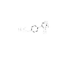 CCc1ccc(-c2cnn[nH]2)cc1